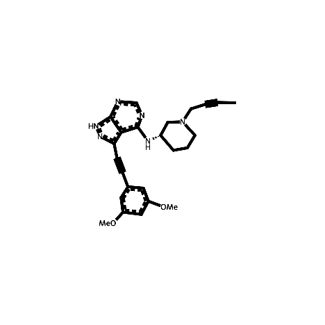 CC#CCN1CCC[C@H](Nc2ncnc3[nH]nc(C#Cc4cc(OC)cc(OC)c4)c23)C1